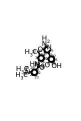 COc1cc(-c2cnc(N)c(OC(C)c3cccc(NC(=O)c4cccc(N(C)C)c4)c3)c2)ccc1O